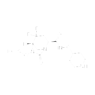 O=C(NOC1CCNCC1)[C@@H]1CC(F)(F)[C@@H]2CN1C(=O)N2OS(=O)(=O)O